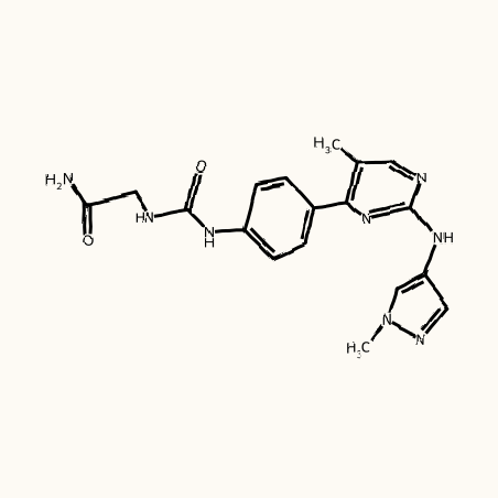 Cc1cnc(Nc2cnn(C)c2)nc1-c1ccc(NC(=O)NCC(N)=O)cc1